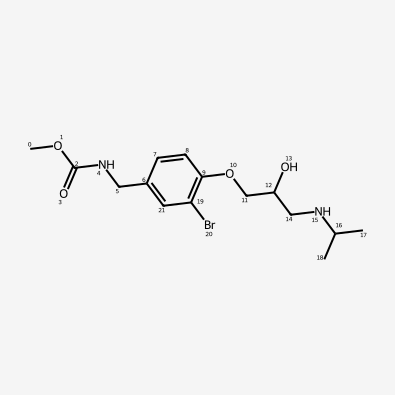 COC(=O)NCc1ccc(OCC(O)CNC(C)C)c(Br)c1